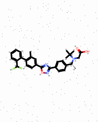 Cc1cc(-c2nc(-c3ccc([C@@H](C)N(CC(=O)O)C(C)(C)C)cc3)no2)ccc1-c1ccccc1C(F)F